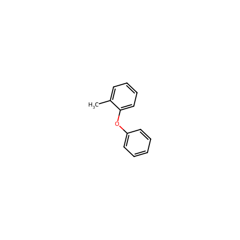 Cc1ccccc1Oc1ccccc1